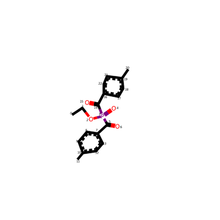 CCOP(=O)(C(=O)c1ccc(C)cc1)C(=O)c1ccc(C)cc1